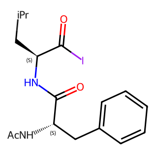 CC(=O)N[C@@H](Cc1ccccc1)C(=O)N[C@@H](CC(C)C)C(=O)I